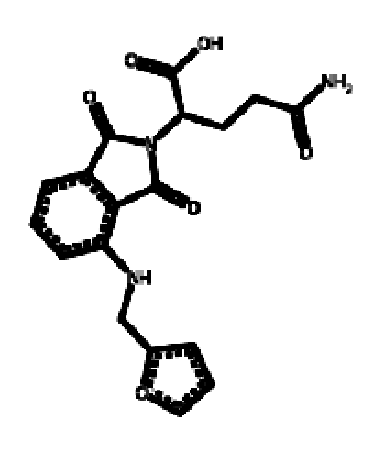 NC(=O)CCC(C(=O)O)N1C(=O)c2cccc(NCc3ccco3)c2C1=O